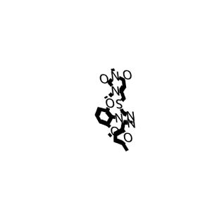 COc1cccc(OC)c1-n1c(SCc2cc(=O)n(C)c(=O)n2C)nnc1-c1ccc(C)o1